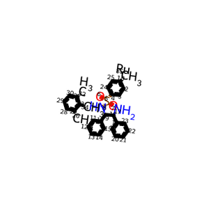 Cc1ccc(S(=O)(=O)N[C@@H](c2ccccc2)[C@@H](N)c2ccccc2)cc1.Cc1cccc(C)c1C.[Ru]